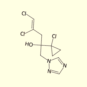 OC(CC(Cl)=CCl)(Cn1cncn1)C1(Cl)CC1